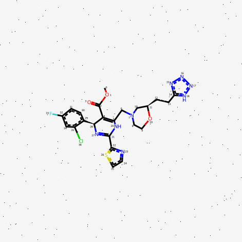 COC(=O)C1=C(CN2CCO[C@H](CCc3nnn[nH]3)C2)NC(c2nccs2)=N[C@H]1c1ccc(F)cc1Cl